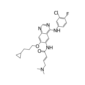 CN(C)CC=CC(=O)Nc1cc2c(Nc3ccc(F)c(Cl)c3)ncnc2cc1OCCCC1CC1